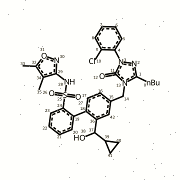 CCCCc1nn(-c2ccccc2Cl)c(=O)n1Cc1ccc(-c2ccccc2S(=O)(=O)Nc2noc(C)c2C)c(C(O)C2CC2)c1